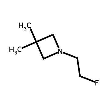 CC1(C)CN(CCF)C1